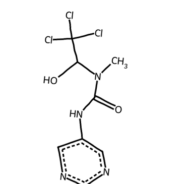 CN(C(=O)Nc1cncnc1)C(O)C(Cl)(Cl)Cl